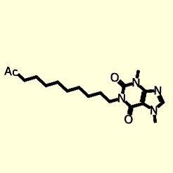 CC(=O)CCCCCCCCCn1c(=O)c2c(ncn2C)n(C)c1=O